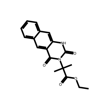 CCOC(=O)C(C)(C)n1c(=O)[nH]c2cc3ccccc3cc2c1=O